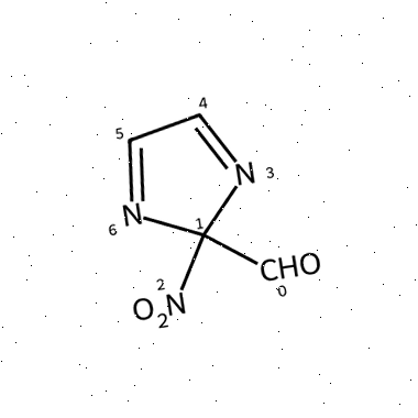 O=CC1([N+](=O)[O-])N=CC=N1